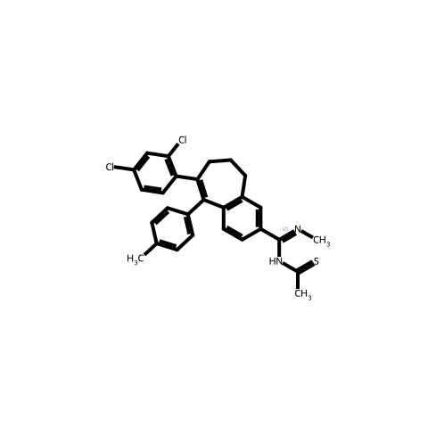 C/N=C(\NC(C)=S)c1ccc2c(c1)CCCC(c1ccc(Cl)cc1Cl)=C2c1ccc(C)cc1